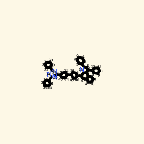 c1ccc(-c2cc(-c3ccccc3)c3c(n2)c(-c2ccc(-c4ccc(-c5nc(-c6ccccc6)nc(-c6ccccc6)n5)cc4)cc2)cc2ccccc23)cc1